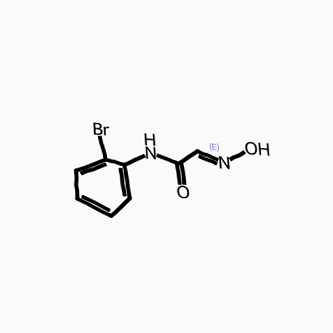 O=C(/C=N/O)Nc1ccccc1Br